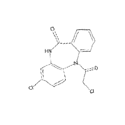 O=C1Nc2cc(Cl)ccc2N(C(=O)CCl)c2ccccc21